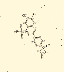 O=C(/C=C(\c1cc(Cl)c(F)c(Cl)c1)C(F)(F)F)c1ccc(C2(F)CNC2)cc1